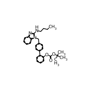 CCCCNc1nc2ccccc2n1Cc1ccc(-c2ccccc2OC(=O)OC(C)(C)C)cc1